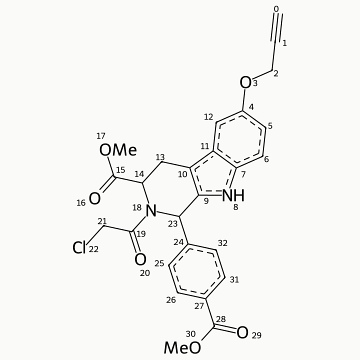 C#CCOc1ccc2[nH]c3c(c2c1)CC(C(=O)OC)N(C(=O)CCl)C3c1ccc(C(=O)OC)cc1